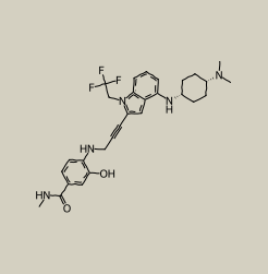 CNC(=O)c1ccc(NCC#Cc2cc3c(N[C@H]4CC[C@@H](N(C)C)CC4)cccc3n2CC(F)(F)F)c(O)c1